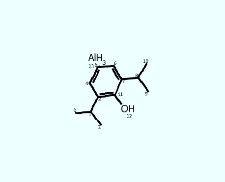 CC(C)c1cccc(C(C)C)c1O.[AlH3]